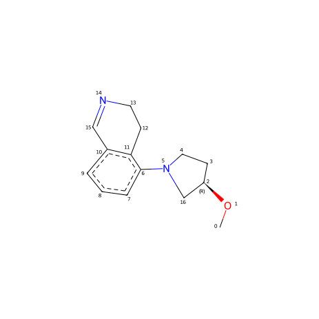 CO[C@@H]1CCN(c2cccc3c2CCN=C3)C1